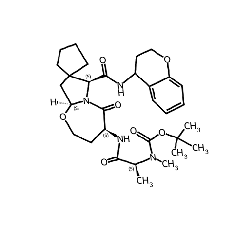 C[C@@H](C(=O)N[C@H]1CCO[C@H]2CC3(CCCC3)[C@@H](C(=O)NC3CCOc4ccccc43)N2C1=O)N(C)C(=O)OC(C)(C)C